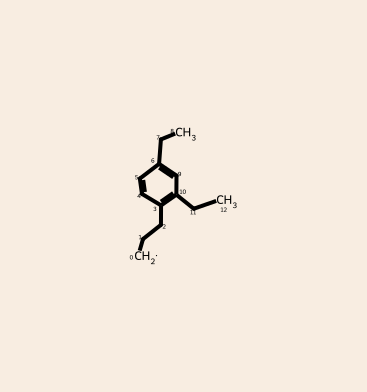 [CH2]CCc1ccc(CC)cc1CC